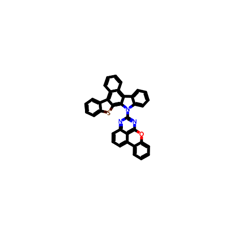 c1ccc2c(c1)Oc1nc(-n3c4ccccc4c4c5ccccc5c5c6ccccc6sc5c43)nc3cccc-2c13